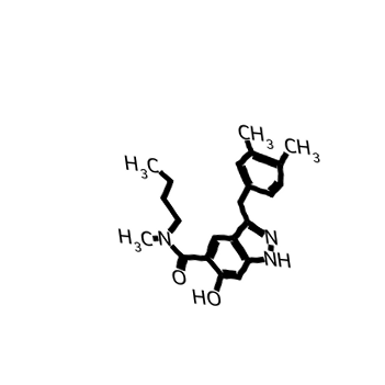 CCCCN(C)C(=O)c1cc2c(Cc3ccc(C)c(C)c3)n[nH]c2cc1O